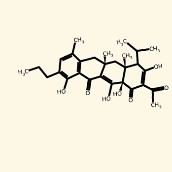 CCCc1cc(C)c2c(c1O)C(=O)C1=C(O)[C@@]3(O)C(=O)C(C(C)=O)=C(O)C(C(C)C)[C@@]3(C)C[C@@]1(C)C2